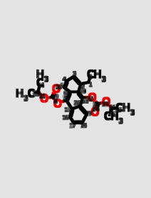 CCc1cccc2c(OC(=O)OC(C)C)c3ccccc3c(OC(=O)OC(C)C)c12